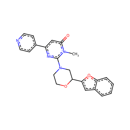 Cn1c(N2CCOC(c3cc4ccccc4o3)C2)nc(-c2ccncc2)cc1=O